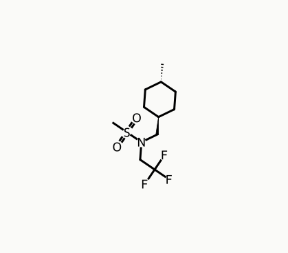 CS(=O)(=O)N(CC(F)(F)F)C[C@H]1CC[C@H](C)CC1